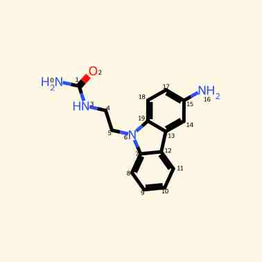 NC(=O)NCCn1c2ccccc2c2cc(N)ccc21